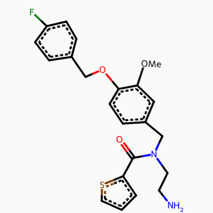 COc1cc(CN(CCN)C(=O)c2cccs2)ccc1OCc1ccc(F)cc1